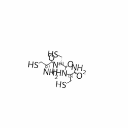 NC(=O)[C@@H](CS)NC(=O)[C@@H](CS)NC(=O)[C@H](N)CS